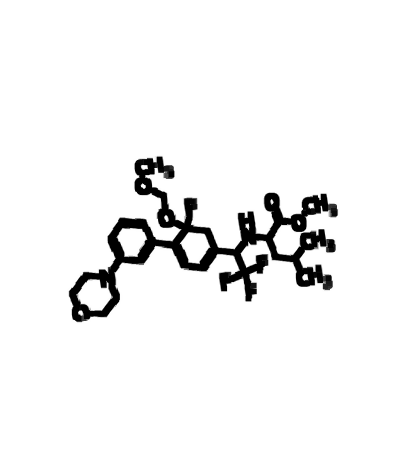 COCOC1(F)CC(C(NC(CC(C)C)C(=O)OC)C(F)(F)F)=CC=C1c1cccc(N2CCOCC2)c1